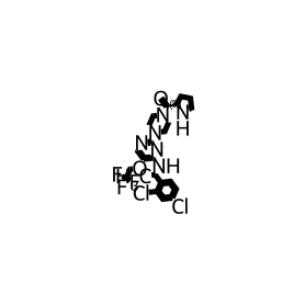 CC(Nc1nc(N2CCN(C(=O)[C@H]3CCCN3)CC2)ncc1OCC(F)(F)F)c1ccc(Cl)cc1Cl